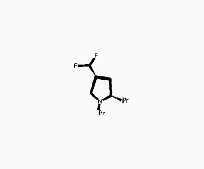 CC(C)[C@@H]1C[C@H](C(F)F)CN1C(C)C